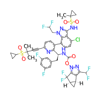 CC1(S(=O)(=O)Nc2nn(CC(F)F)c3c(-c4ccc(C#CC(C)(C)S(=O)(=O)C5CC5)nc4[C@H](Cc4cc(F)cc(F)c4)NC(=O)On4nc(C(F)F)c5c4C(F)(F)[C@@H]4C[C@H]54)ccc(Cl)c23)CC1